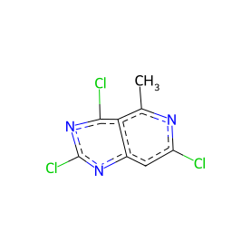 Cc1nc(Cl)cc2nc(Cl)nc(Cl)c12